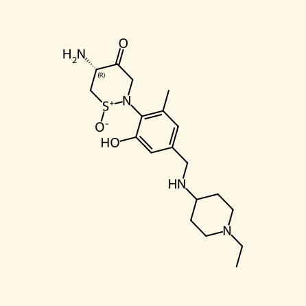 CCN1CCC(NCc2cc(C)c(N3CC(=O)[C@@H](N)C[S+]3[O-])c(O)c2)CC1